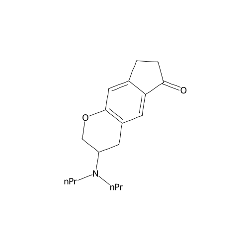 CCCN(CCC)C1COc2cc3c(cc2C1)C(=O)CC3